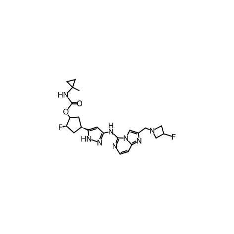 CC1(NC(=O)O[C@H]2C[C@@H](c3cc(Nc4nccc5nc(CN6CC(F)C6)cn45)n[nH]3)C[C@H]2F)CC1